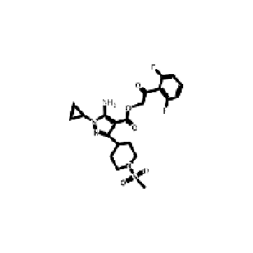 CS(=O)(=O)N1CCC(c2nn(C3CC3)c(N)c2C(=O)OCC(=O)c2c(F)cccc2F)CC1